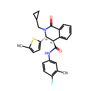 N#Cc1ccc([C@H]2[C@H](C(=O)Nc3ccc(F)c(C#N)c3)c3ccccc3C(=O)N2CC2CC2)s1